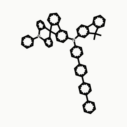 CC1(C)c2ccccc2-c2ccc(N(c3ccc(-c4ccc(-c5ccc(-c6ccccc6)cc5)cc4)cc3)c3ccc4c(c3)-c3ccccc3C43c4ccccc4N(c4ccccc4)c4ccccc43)cc21